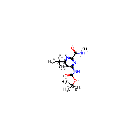 CNC(=O)c1nc(NC(=O)OC(C)(C)C)cc(C(C)(C)C)n1